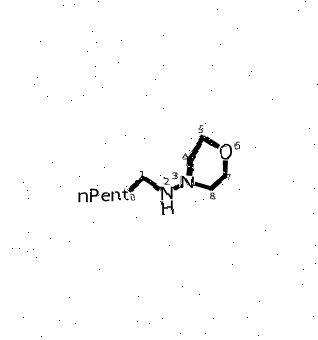 CCCCCCNN1CCOCC1